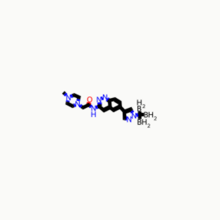 BC(B)(B)n1cc(-c2ccc3nnc(NC(=O)CN4CCN(C)CC4)cc3c2)cn1